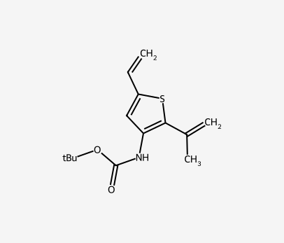 C=Cc1cc(NC(=O)OC(C)(C)C)c(C(=C)C)s1